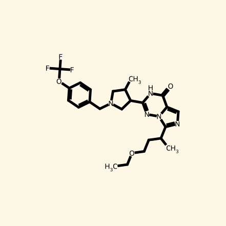 CCOCCC(C)c1ncc2c(=O)[nH]c(C3CN(Cc4ccc(OC(F)(F)F)cc4)CC3C)nn12